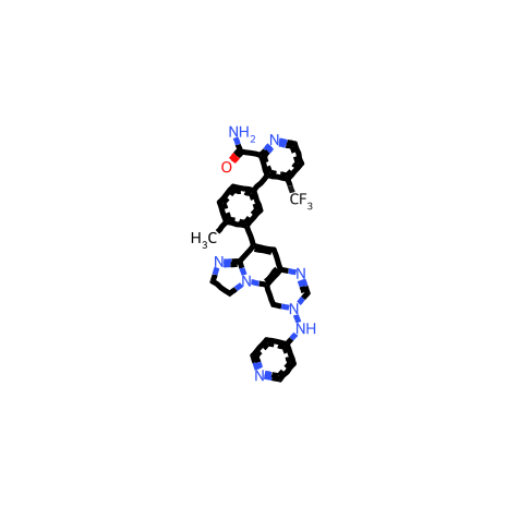 Cc1ccc(-c2c(C(F)(F)F)ccnc2C(N)=O)cc1C1=CC2=C(CN(Nc3ccncc3)C=N2)N2CCN=C12